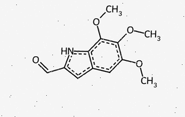 COc1cc2cc(C=O)[nH]c2c(OC)c1OC